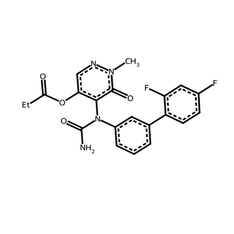 CCC(=O)Oc1cnn(C)c(=O)c1N(C(N)=O)c1cccc(-c2ccc(F)cc2F)c1